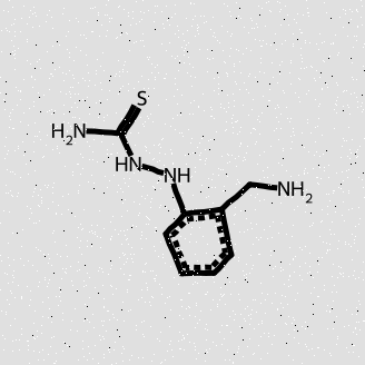 NCc1ccccc1NNC(N)=S